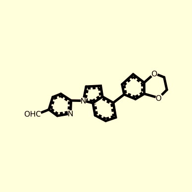 O=Cc1ccc(-n2ccc3c(-c4ccc5c(c4)OCCO5)cccc32)nc1